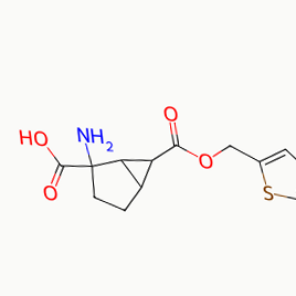 NC1(C(=O)O)CCC2C(C(=O)OCc3cccs3)C21